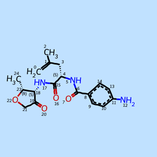 C=C(C)C[C@H](NC(=O)c1ccc(N)cc1)C(=O)N[C@@H]1C(=O)CO[C@@H]1C